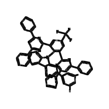 Cc1cc(C)cc(-c2ccc3c4ccccc4n(-c4c(-c5nc(-c6ccccc6)cc(-c6ccccc6)n5)cc(C(F)(F)F)cc4-c4nc(-c5ccccc5)cc(-c5ccccc5)n4)c3c2)c1